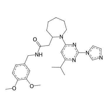 COc1ccc(CNC(=O)CC2CCCCCN2c2cc(C(C)C)nc(-n3ccnc3)n2)cc1OC